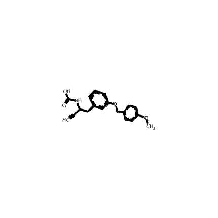 C#CC(Cc1cccc(OCc2ccc(OC)cc2)c1)NC(=O)O